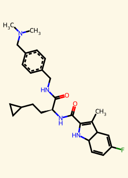 CC1=C(C(=O)N[C@@H](CCC2CC2)C(=O)NCc2ccc(CN(C)C)cc2)NC2C=CC(F)=CC12